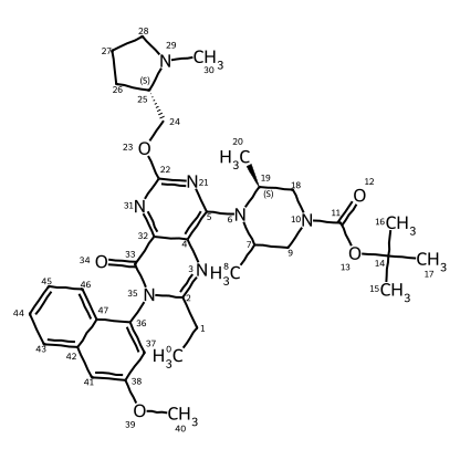 CCc1nc2c(N3C(C)CN(C(=O)OC(C)(C)C)C[C@@H]3C)nc(OC[C@@H]3CCCN3C)nc2c(=O)n1-c1cc(OC)cc2ccccc12